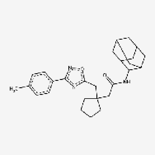 Cc1ccc(-c2noc(CC3(CC(=O)NC4C5CC6CC(C5)CC4C6)CCCC3)n2)cc1